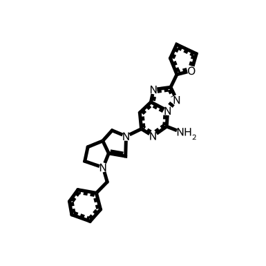 Nc1nc(N2C=C3C(CCN3Cc3ccccc3)C2)cc2nc(-c3ccco3)nn12